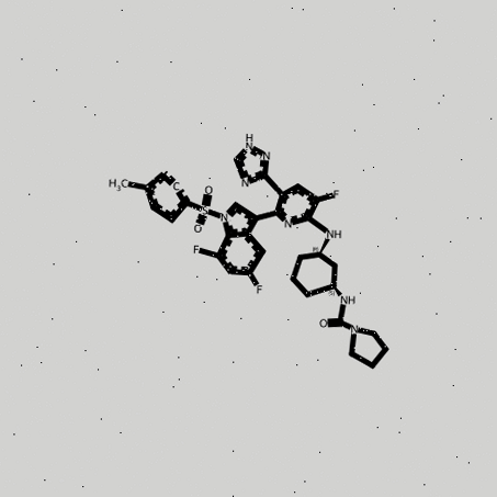 Cc1ccc(S(=O)(=O)n2cc(-c3nc(N[C@@H]4CCC[C@H](NC(=O)N5CCCC5)C4)c(F)cc3-c3nc[nH]n3)c3cc(F)cc(F)c32)cc1